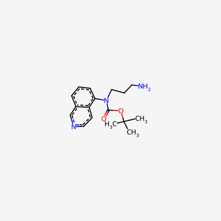 CC(C)(C)OC(=O)N(CCCN)c1cccc2cnccc12